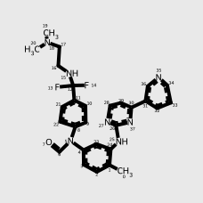 Cc1ccc(N(C=O)c2ccc(C(F)(F)NCCN(C)C)cc2)cc1Nc1nccc(-c2cccnc2)n1